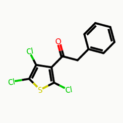 O=C(Cc1ccccc1)c1c(Cl)sc(Cl)c1Cl